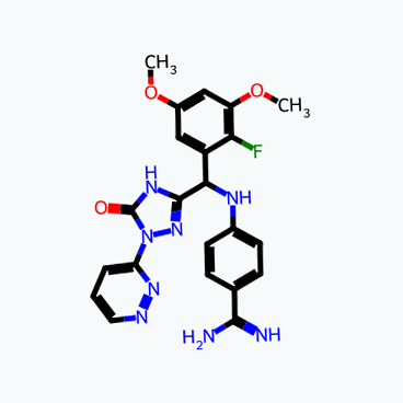 COc1cc(OC)c(F)c(C(Nc2ccc(C(=N)N)cc2)c2nn(-c3cccnn3)c(=O)[nH]2)c1